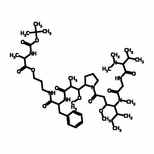 CCC(C)C(C(CC(=O)N1CCCC1C(OC)C(C)C(=O)NC(Cc1ccccc1)C(=O)NCCCOC(=O)C(C)NC(=O)OC(C)(C)C)OC)N(C)C(=O)CNC(=O)C(C(C)C)N(C)C